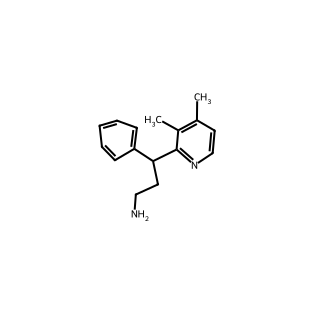 Cc1ccnc(C(CCN)c2ccccc2)c1C